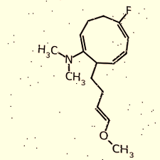 CO/C=C/CCC1C=C/C=C(/F)CC/C=C\1N(C)C